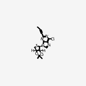 CC#Cc1nc(Cl)c2ncn([C@@H]3SC[C@H]4OC(C)(C)O[C@@H]34)c2n1